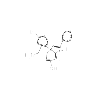 NCc1cc(Br)ccc1C1(C=Cc2ccccc2)CC=C(N)C=C1N